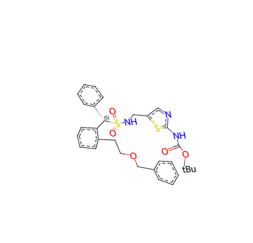 CC(C)(C)OC(=O)Nc1ncc(CNS(=O)(=O)[C@@H](c2ccccc2)c2ccccc2CCOCc2ccccc2)s1